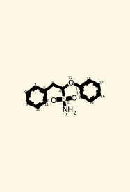 NS(=O)(=O)C(Cc1ccccc1)Oc1ccccc1